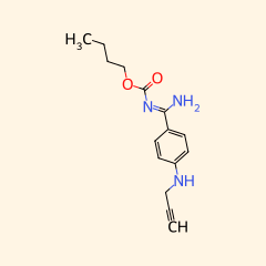 C#CCNc1ccc(C(N)=NC(=O)OCCCC)cc1